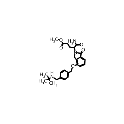 COC(=O)CCC(C(N)=O)N1Cc2c(OCc3ccc(CNC(C)(C)C)cc3)cccc2C1=O